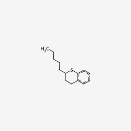 CCCC[CH]C1CCc2ccccc2S1